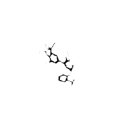 Cc1n[nH]c2c(F)cc(-c3cc(Nc4ccccc4C(C)O)cnc3Cl)cc12